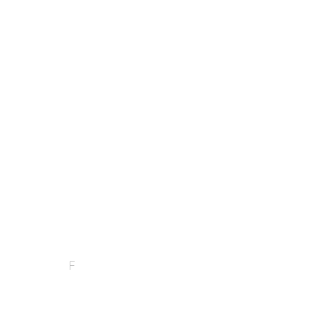 CC[CH]C(Cc1cc(C)cc(C)c1)c1ccc(F)cc1